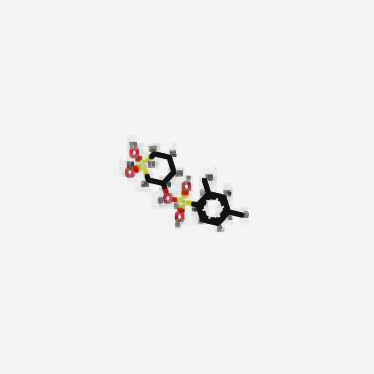 Cc1ccc(S(=O)(=O)OC2CCCS(=O)(=O)C2)c(C)c1